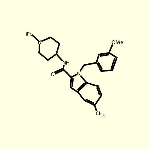 COc1cccc(Cn2c(C(=O)NC3CCN(C(C)C)CC3)cc3cc(C)ccc32)c1